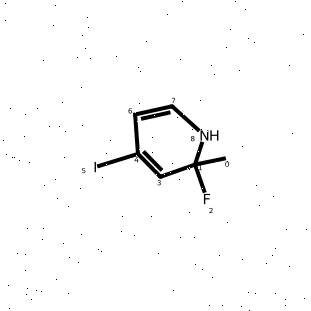 CC1(F)C=C(I)C=CN1